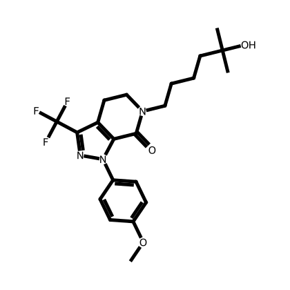 COc1ccc(-n2nc(C(F)(F)F)c3c2C(=O)N(CCCCC(C)(C)O)CC3)cc1